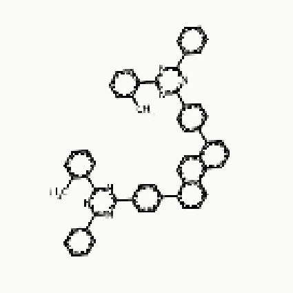 Cc1ccccc1-c1nc(-c2ccccc2)nc(-c2ccc(-c3cccc4c3ccc3c(-c5ccc(-c6nc(-c7ccccc7)nc(-c7ccccc7C)n6)cc5)cccc34)cc2)n1